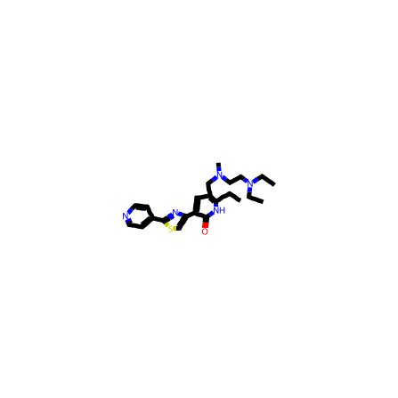 CCc1[nH]c(=O)c(-c2csc(-c3ccncc3)n2)cc1CN(C)CCN(CC)CC